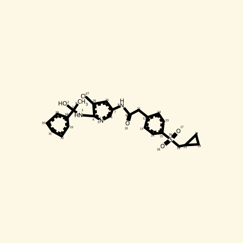 CC(O)(Nc1ncc(NC(=O)Cc2ccc(S(=O)(=O)CC3CC3)cc2)cc1Cl)c1ccccc1